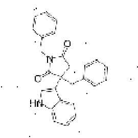 O=C1CC(Cc2ccccc2)(c2c[nH]c3ccccc23)C(=O)N1Cc1ccccc1